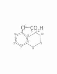 O=C(O)Cl.c1ccc2c(c1)CCCC2